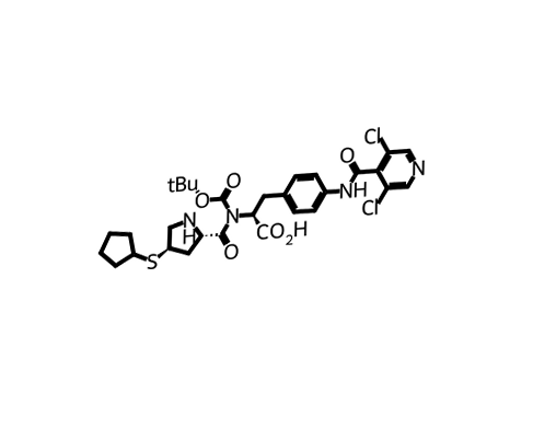 CC(C)(C)OC(=O)N(C(=O)[C@@H]1C[C@@H](SC2CCCC2)CN1)[C@@H](Cc1ccc(NC(=O)c2c(Cl)cncc2Cl)cc1)C(=O)O